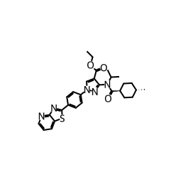 CCOC(=O)c1cn(-c2ccc(-c3nc4ncccc4s3)cc2)nc1N(C(=O)[C@H]1CC[C@H](C)CC1)C(C)C